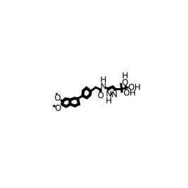 COc1cc2ccc(-c3ccc(CC(=O)Nc4cc(C(C)(C)C(O)(O)O)n[nH]4)cc3)cc2cc1OC